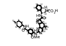 COc1cc(C(=O)NC2CCN(C)CC2)ccc1Nc1ncc2c(n1)-c1noc(C(=O)N[C@@H](CNC(=O)O)c3ccccc3)c1CC2(C)C